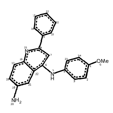 COc1ccc(Nc2cc(-c3ccccc3)nc3ccc(N)cc23)cc1